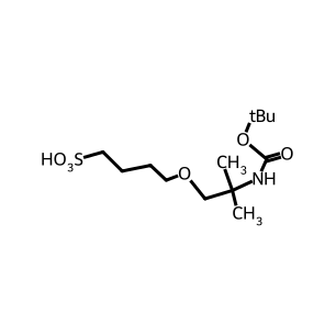 CC(C)(COCCCCS(=O)(=O)O)NC(=O)OC(C)(C)C